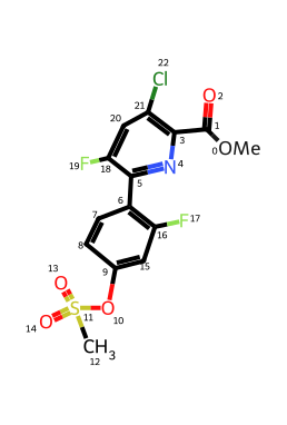 COC(=O)c1nc(-c2ccc(OS(C)(=O)=O)cc2F)c(F)cc1Cl